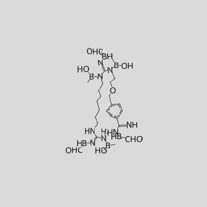 CB(O)N/C(=N/BC=O)NCCCCCCCN(B(C)O)/C(=N/BC=O)N(CCOCc1ccc(C(=N)NBC=O)cc1)B(C)O